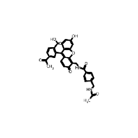 CC(=O)NCc1ccc(C(=O)NCc2c3oc4cc(O)ccc4c(-c4cc(C(C)=O)ccc4C(=O)O)c-3ccc2=O)cc1